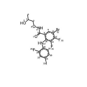 CC(O)CONC(=O)c1cc(Br)c(F)c(F)c1Nc1ccc(I)cc1F